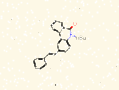 CCCCn1c(=O)c2ccccc2c2cc(C=Cc3ccccc3)ccc21